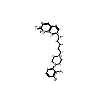 CC(=O)c1c(F)cccc1N1CCN(CCCCOc2ccc3ccc(=O)[nH]c3n2)CC1